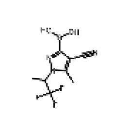 Cc1c(C#N)c(B(O)O)nn1C(C)C(F)(F)F